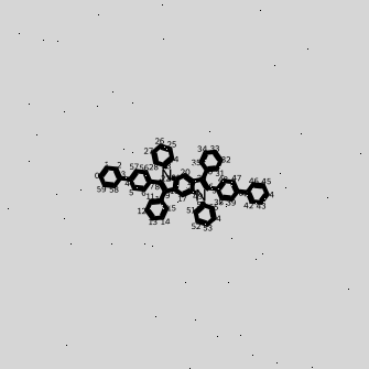 c1ccc(-c2ccc(-c3c(-c4ccccc4)c4cc5c(cc4n3-c3ccccc3)c(-c3ccccc3)c(-c3ccc(-c4ccccc4)cc3)n5-c3ccccc3)cc2)cc1